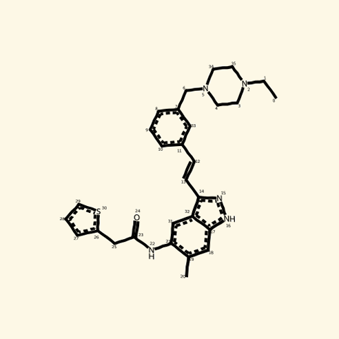 CCN1CCN(Cc2cccc(C=Cc3n[nH]c4cc(C)c(NC(=O)Cc5cccs5)cc34)c2)CC1